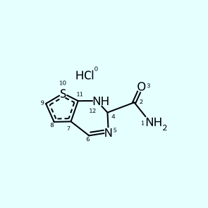 Cl.NC(=O)C1N=Cc2ccsc2N1